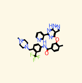 Cc1ccc(C(=O)Nc2ccc(CN3CCN(C)CC3)c(C(F)(F)F)c2)cc1Oc1nc(-c2cccnc2)nc2[nH]ncc12